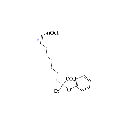 CCCCCCCC/C=C\CCCCCCC(CC)(Oc1ccccc1)C(=O)O